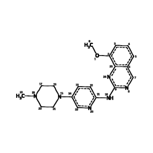 COc1cccc2cnc(Nc3ccc(N4CCN(C)CC4)cn3)nc12